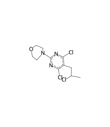 CC(Cl)Cc1c(Cl)nc(N2CCOCC2)nc1Cl